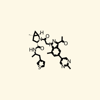 CC(=O)c1nn(CC(=O)N2[C@H](C(=O)NC(C)Cc3ccsc3)C[C@@]3(C)C[C@@H]23)c2c(C)cc(-c3cnc(C)nc3)cc12